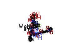 CC[C@]1(O)c2cc3n(c(=O)c2COC1O)Cc1c-3nc2cc(F)c(C)c3c2c1CC(N(C(=O)CNC(=O)[C@H](Cc1ccccc1)NC(=O)CNC(=O)CNC(=O)CCCCCN1C(=O)C=CC1=O)[C@H](C(=O)NC)C(C)C)C3